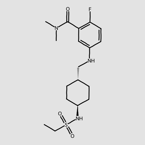 CCS(=O)(=O)N[C@H]1CC[C@H](CNc2ccc(F)c(C(=O)N(C)C)c2)CC1